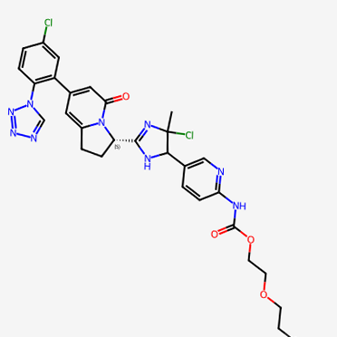 COCCOCCOC(=O)Nc1ccc(C2NC([C@@H]3CCc4cc(-c5cc(Cl)ccc5-n5cnnn5)cc(=O)n43)=NC2(C)Cl)cn1